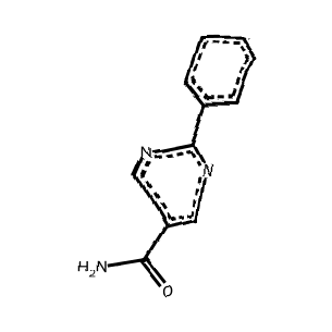 NC(=O)c1cnc(-c2cc[c]cc2)nc1